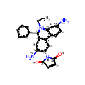 CC[n+]1c(-c2ccccc2)c2cc(N)ccc2c2ccc(N)cc21.O=C1C=CC(=O)N1